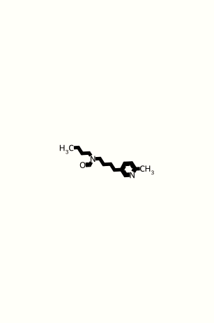 CCCCN(C=O)CCCCc1ccc(C)nc1